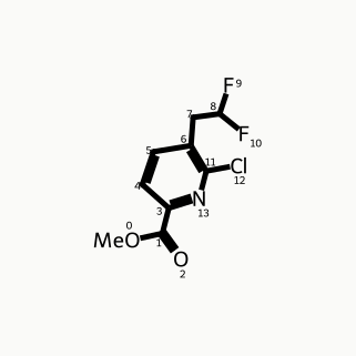 COC(=O)c1ccc(CC(F)F)c(Cl)n1